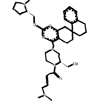 CN(C)C/C=C/C(=O)N1CCN(c2nc(OC[C@@H]3CCCN3C)nc3c2CCC2(CCCc4ccccc42)C3)C[C@@H]1CC#N